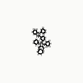 C1=CC=C2C=C3C(=CC(=C1)C2)N(c1ccccc1)B(c1cccc(-c2nc4ccccc4n2-c2ccccc2)c1)N3c1ccccc1